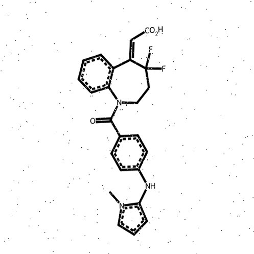 Cn1cccc1Nc1ccc(C(=O)N2CCC(F)(F)/C(=C\C(=O)O)c3ccccc32)cc1